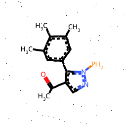 CC(=O)c1cnn(P)c1-c1cc(C)c(C)c(C)c1